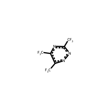 FC(F)(F)c1nnc(C(F)(F)F)c(C(F)(F)F)n1